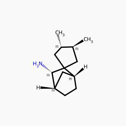 C[C@H]1CC2(C[C@@H]1C)[C@@H]1CC[C@@H](C1)[C@@H]2N